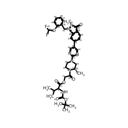 CC(C)C(NC(=O)OC(C)(C)C)C(=O)OCC(=O)N1CCN(c2ncc(-c3ccc4c(=O)n(C)n(Cc5ccccc5OC(F)F)c4c3)cn2)C[C@H]1C